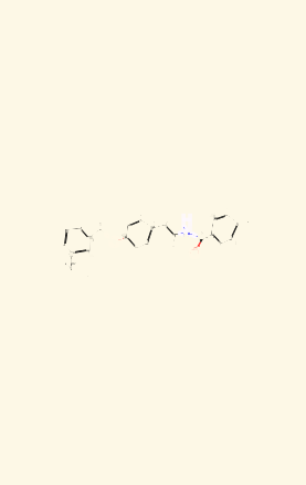 O=C(O)/C(=C\c1ccc(OCc2cccc([N+](=O)[O-])c2)cc1)NC(=O)c1ccccc1